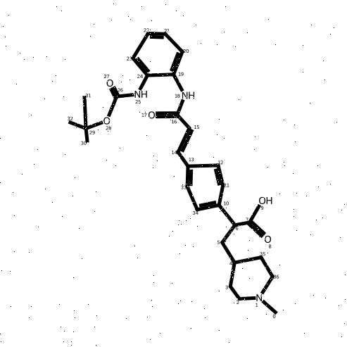 CN1CCC(CC(C(=O)O)c2ccc(/C=C/C(=O)Nc3ccccc3NC(=O)OC(C)(C)C)cc2)CC1